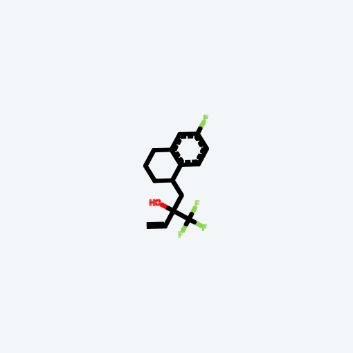 C=CC(O)(CC1CCCc2cc(F)ccc21)C(F)(F)F